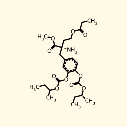 CCC(=O)OCC[C@@](N)(Cc1ccc(OC(=O)O[C@@H](C)CC)c(OC(=O)OC(C)CC)c1)C(=O)OC